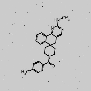 CNc1ncc2c(n1)-c1ccccc1C1(CCN(C(=O)c3ccc(C)cc3)CC1)C2